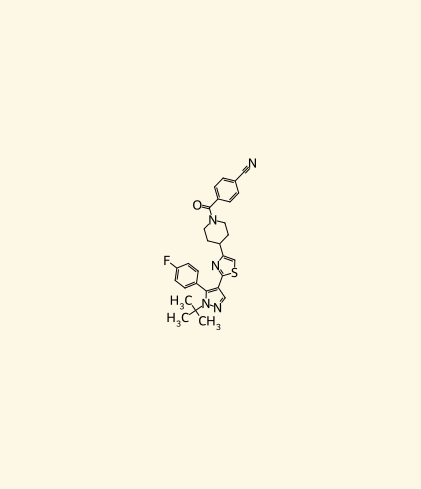 CC(C)(C)n1ncc(-c2nc(C3CCN(C(=O)c4ccc(C#N)cc4)CC3)cs2)c1-c1ccc(F)cc1